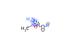 CCCCNc1nc(N)nc2ccn(Cc3ccc(CN4CCCC4)c4ccccc34)c(=O)c12